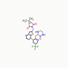 CC1(C)C2C(=O)N(Cc3cc4nccc(-c5cc(C(F)(F)F)cnc5CC5NCCNC5=O)c4s3)C(=O)C21